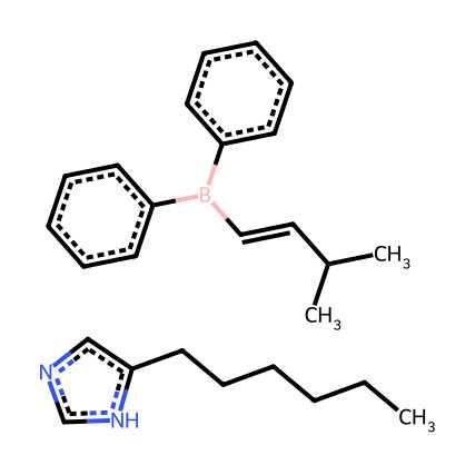 CC(C)C=CB(c1ccccc1)c1ccccc1.CCCCCCc1cnc[nH]1